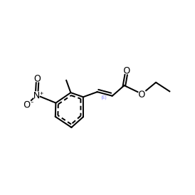 CCOC(=O)/C=C/c1cccc([N+](=O)[O-])c1C